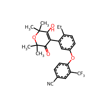 CCc1ccc(Oc2ccc(C#N)cc2C(F)(F)F)cc1C1=C(O)C(C)(C)OC(C)(C)C1=O